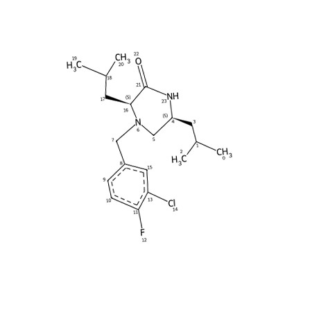 CC(C)C[C@H]1CN(Cc2ccc(F)c(Cl)c2)[C@@H](CC(C)C)C(=O)N1